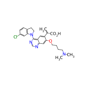 C=C(C(=O)O)c1cc2c(N3CCc4ccc(Cl)cc43)ncnc2cc1OCCCCN(C)C